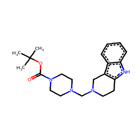 CC(C)(C)OC(=O)N1CCN(CN2CCc3[nH]c4ccccc4c3C2)CC1